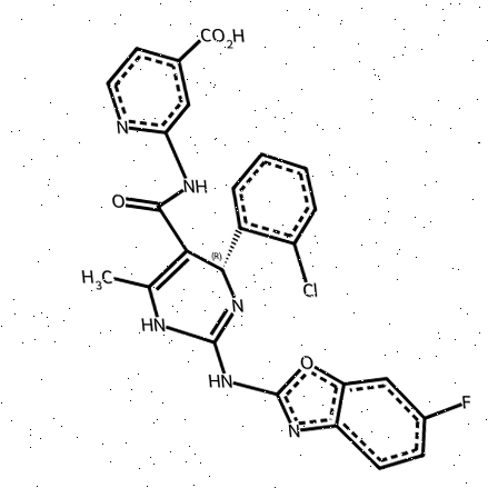 CC1=C(C(=O)Nc2cc(C(=O)O)ccn2)[C@H](c2ccccc2Cl)N=C(Nc2nc3ccc(F)cc3o2)N1